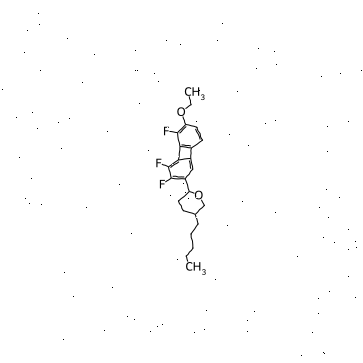 CCCCCC1CCC(c2cc3c(c(F)c2F)-c2c-3ccc(OCC)c2F)OC1